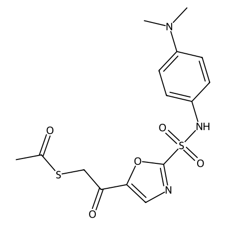 CC(=O)SCC(=O)c1cnc(S(=O)(=O)Nc2ccc(N(C)C)cc2)o1